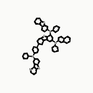 c1ccc(N(c2ccc3ccccc3c2)c2cc(N(c3ccccc3)c3ccc4c(c3)sc3ccccc34)c3sc4ccc(-c5ccc(N(c6ccccc6)c6ccc7sc8cccnc8c7c6)cc5)cc4c3c2)cc1